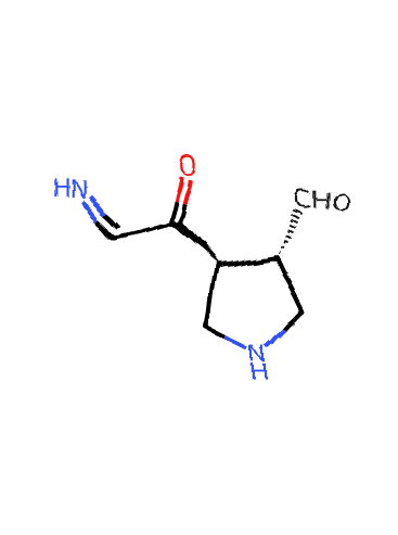 N=CC(=O)[C@@H]1CNC[C@H]1C=O